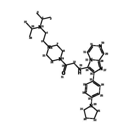 CC(C)N(CCN1CCN(C(=O)CNc2c(-c3ccc(N4CCCC4)cc3)nc3cnccn23)CC1)C(C)C